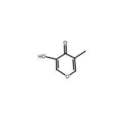 Cc1cocc(O)c1=O